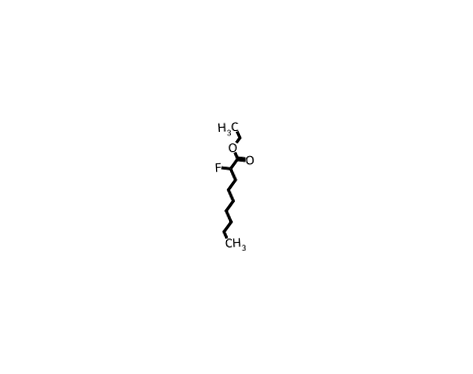 CCCCCCCC(F)C(=O)OCC